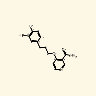 NC(=O)c1cnccc1OCCCc1ccc(F)c(F)c1